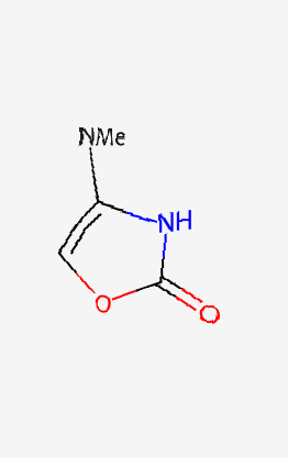 CNc1coc(=O)[nH]1